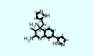 CC1C(N)=Nc2cc(-c3ccn[nH]3)ccc2C1(N)Cc1ccn[nH]1